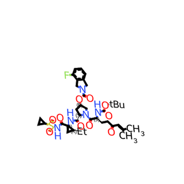 CC[C@@H]1C[C@]1(NC(=O)[C@@H]1C[C@@H](OC(=O)N2Cc3cccc(F)c3C2)CN1C(=O)[C@H](CCC(=O)C=C(C)C)NC(=O)OC(C)(C)C)C(=O)NS(=O)(=O)C1CC1